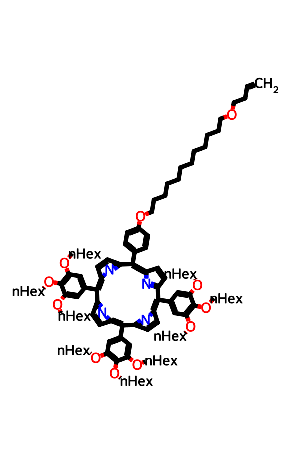 C=CCCOCCCCCCCCCCCCOc1ccc(C2=C3C=CC(=N3)C(c3cc(OCCCCCC)c(OCCCCCC)c(OCCCCCC)c3)=C3C=CC(=N3)C(c3cc(OCCCCCC)c(OCCCCCC)c(OCCCCCC)c3)=C3C=CC(=N3)C(c3cc(OCCCCCC)c(OCCCCCC)c(OCCCCCC)c3)=C3C=CC2=N3)cc1